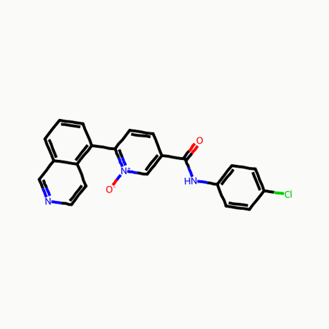 O=C(Nc1ccc(Cl)cc1)c1ccc(-c2cccc3cnccc23)[n+]([O-])c1